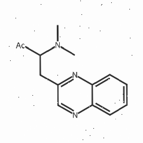 CC(=O)C(Cc1cnc2ccccc2n1)N(C)C